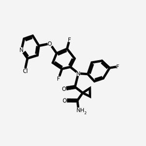 NC(=O)C1(C(=O)N(c2ccc(F)cc2)c2cc(F)c(Oc3ccnc(Cl)c3)cc2F)CC1